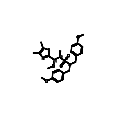 COc1ccc(CN(Cc2ccc(OC)cc2)S(=O)(=O)[C@H](C)[C@H](OC)c2nc(C)c(C)s2)cc1